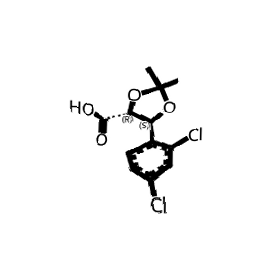 CC1(C)O[C@@H](C(=O)O)[C@H](c2ccc(Cl)cc2Cl)O1